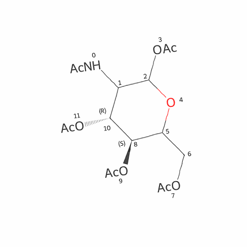 CC(=O)NC1C(OC(C)=O)OC(COC(C)=O)[C@@H](OC(C)=O)[C@@H]1OC(C)=O